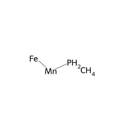 C.[PH2][Mn][Fe]